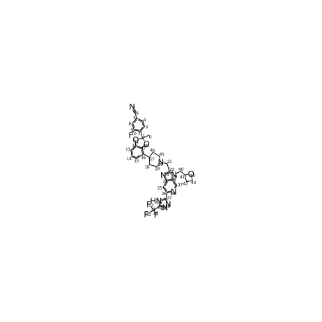 CC1(c2ccc(C#N)cc2F)Oc2cccc(C3CCN(Cc4nc5cc(-c6nnc(C(F)(F)F)[nH]6)ncc5n4CC4CCO4)CC3)c2O1